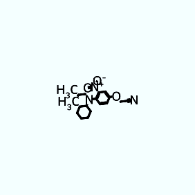 CC(C)CN(c1ccc(OCC#N)cc1[N+](=O)[O-])C1CCCCC1